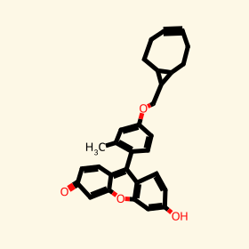 Cc1cc(OCC2C3CCC#CCCC32)ccc1-c1c2ccc(=O)cc-2oc2cc(O)ccc12